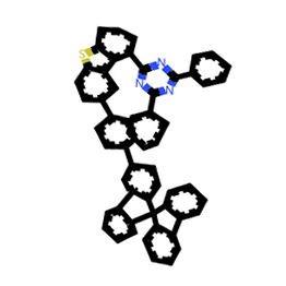 c1ccc(-c2nc(-c3ccccc3)nc(-c3cccc4sc5ccc(-c6ccc(-c7ccc8c(c7)-c7ccccc7C87c8ccccc8-c8ccccc87)cc6)cc5c34)n2)cc1